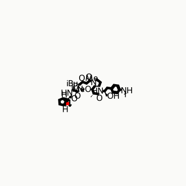 CC[C@H](C)C([C@@H](CC(=O)N1CCC[C@H]1[C@H](OC)[C@@H](C)C(=O)N[C@H](CO)Cc1ccc(NI)cc1)OC)N(C)C(=O)[C@@H](NC(=O)[C@@H]1[C@H]2CC[C@@H]([C@H]2C)N1C)C(C)C